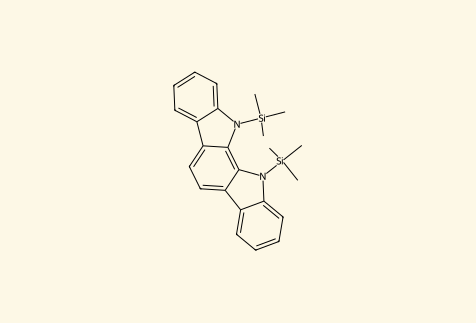 C[Si](C)(C)n1c2ccccc2c2ccc3c4ccccc4n([Si](C)(C)C)c3c21